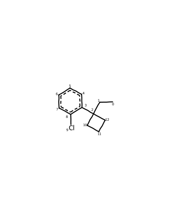 CCC1(c2ccccc2Cl)CCC1